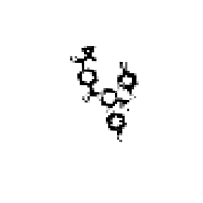 C[C@@H](Oc1ccc(Cl)cn1)[C@@H]1CCN(C(=O)C2CCN(C(=O)C3(C)CC3)CC2)C[C@H]1c1ccc(Cl)cc1